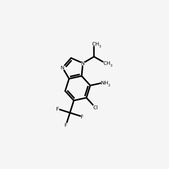 CC(C)n1cnc2cc(C(F)(F)F)c(Cl)c(N)c21